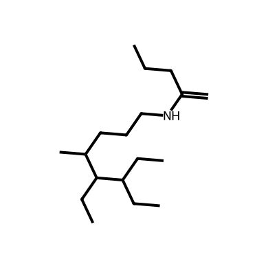 C=C(CCC)NCCCC(C)C(CC)C(CC)CC